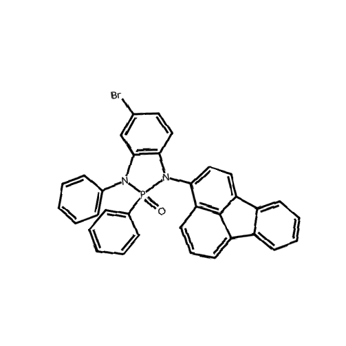 O=P1(c2ccccc2)N(c2ccccc2)c2cc(Br)ccc2N1c1ccc2c3c(cccc13)-c1ccccc1-2